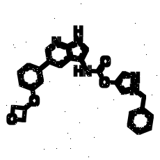 O=C(Nc1c[nH]c2ncc(-c3cccc(OC4COC4)c3)cc12)Oc1cnn(Cc2ccccc2)c1